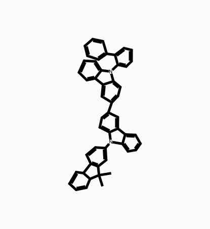 CC1(C)c2cc(-n3c4ccccc4c4cc(-c5ccc6c(c5)c5ccccc5n6-c5ccccc5-c5ccccc5)ccc43)ccc2C2C=CC=CC21